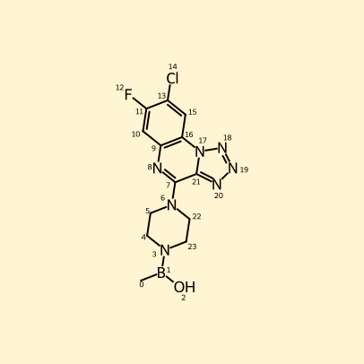 CB(O)N1CCN(c2nc3cc(F)c(Cl)cc3n3nnnc23)CC1